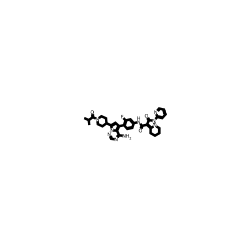 CC(C)C(=O)N1CCC(c2cc(-c3ccc(NC(=O)c4c5n(n(-c6ccccn6)c4=O)CCCC5)cc3F)c3c(N)ncnn23)CC1